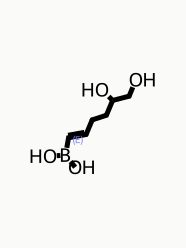 OCC(O)CC/C=C/B(O)O